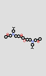 CC(C)c1ccc(N(c2ccc3cc4c(cc3c2)oc2cc3c(cc24)oc2cc4cc(N(c5ccc(C(C)C)cc5)c5ccc6c(c5)oc5ccccc56)ccc4cc23)c2ccc3c(c2)oc2ccccc23)cc1